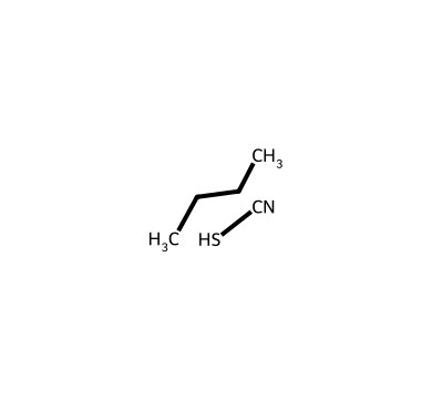 CCCC.N#CS